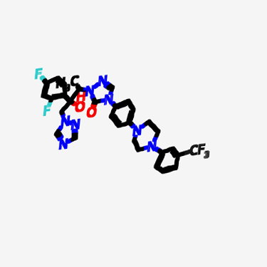 CC(n1ncn(-c2ccc(N3CCN(c4cccc(C(F)(F)F)c4)CC3)cc2)c1=O)C(O)(Cn1cncn1)c1ccc(F)cc1F